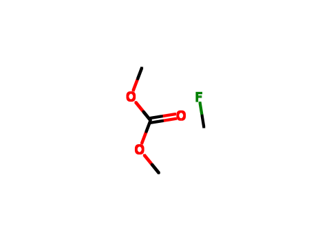 CF.COC(=O)OC